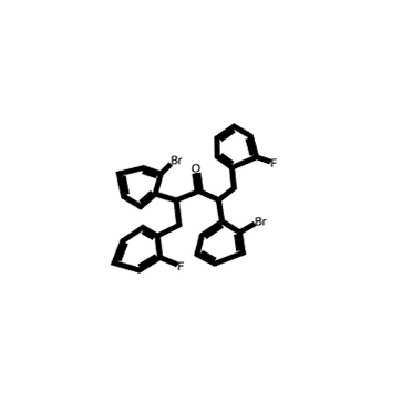 O=C(C(Cc1ccccc1F)c1ccccc1Br)C(Cc1ccccc1F)c1ccccc1Br